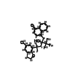 CC(C)(CC(O)(Cn1ccc(=O)c2ccccc21)C(F)(F)F)c1cc(Cl)cc2c1OCC2